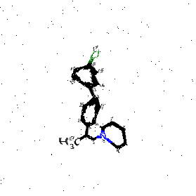 CC(CN1CCCCC1)c1ccc(-c2ccc(Cl)cc2)cc1